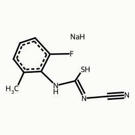 Cc1cccc(F)c1NC(S)=NC#N.[NaH]